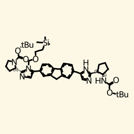 CC(C)(C)OC(=O)N[C@H]1CCC[C@@H]1c1ncc(-c2ccc3c(c2)Cc2cc(-c4cnc([C@@H]5CCCN5C(=O)OC(C)(C)C)n4COCC[Si](C)(C)C)ccc2-3)[nH]1